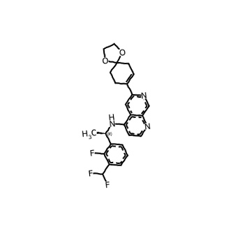 C[C@@H](Nc1ccnc2cnc(C3=CCC4(CC3)OCCO4)cc12)c1cccc(C(F)F)c1F